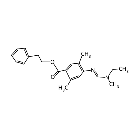 CCN(C)/C=N/c1cc(C)c(C(=O)OCCc2ccccc2)cc1C